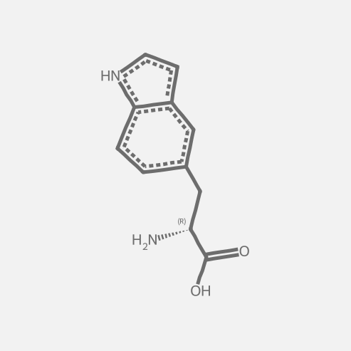 N[C@H](Cc1ccc2[nH]ccc2c1)C(=O)O